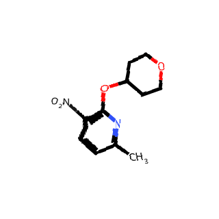 Cc1ccc([N+](=O)[O-])c(OC2CCOCC2)n1